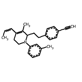 C#Cc1ccc(CCC2C(C)=C(/C=C\C)CCN2c2cccc(C)c2)cc1